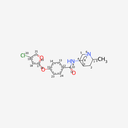 CC1CC2CCN1CC2NC(=O)c1ccc(Oc2cc(Cl)co2)cc1